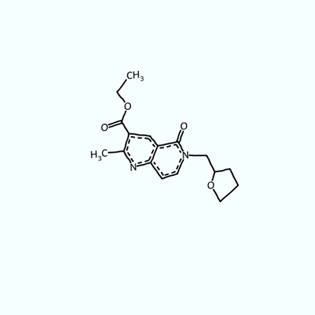 CCOC(=O)c1cc2c(=O)n(CC3CCCO3)ccc2nc1C